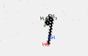 Cc1ccc(CC(CCCCCCCCNCCCCO)c2cc(F)cc(F)c2)cc1C